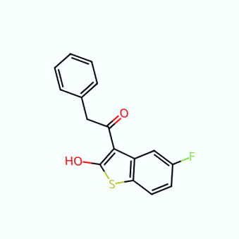 O=C(Cc1ccccc1)c1c(O)sc2ccc(F)cc12